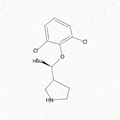 CCCC[C@@H](Oc1c(Cl)cccc1Cl)C1CCNC1